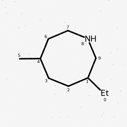 CCC1CCC(C)CCNC1